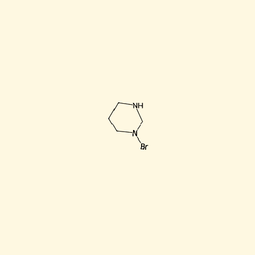 BrN1CCCNC1